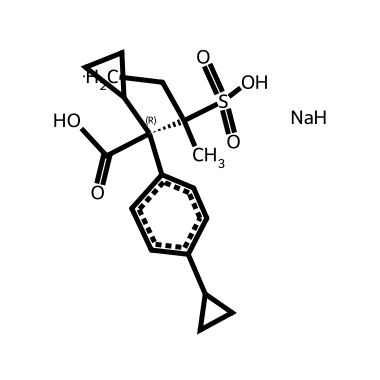 [CH2]CC(C)([C@@](C(=O)O)(c1ccc(C2CC2)cc1)C1CC1)S(=O)(=O)O.[NaH]